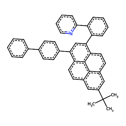 CC(C)(C)c1cc2ccc3c(-c4ccc(-c5ccccc5)cc4)cc(-c4ccccc4-c4ccccn4)c4ccc(c1)c2c34